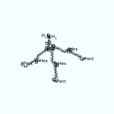 CCCCC/C=C\C/C=C\CCCCCCCC(=O)OC(C/C=C\CCCCCCCC(=O)OC1CC(C(=O)OCCCN(C)C)C[C@@H](OC(=O)CCCCCCC/C=C\CC(CCCCCC)OC(=O)CCCCCCC/C=C\C/C=C\CCCCC)[C@H]1OC(O)CCCCCCC/C=C\CC(CCCCCC)OC(=O)CCCCCCC/C=C\C/C=C\CCCCC)CCCCCC